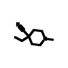 CCC1(C#N)CCN(C)CC1